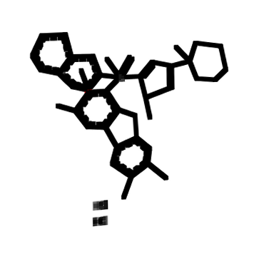 Cl.Cl.[CH2]=[Zr]([CH3])([C]1=CC(C2(C)CCCCC2)=CC1C)([c]1ccc2ccccc2c1)[c]1c(C)c(C)cc2c1Cc1cc(C)c(C)cc1-2